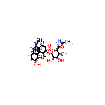 Cc1nnc(C2O[C@H](O[C@@]3(O)C=C[C@H]4[C@H]5Cc6ccc(O)c7c6[C@@]4(CCN5C)[C@H]3O7)[C@H](O)[C@@H](O)[C@@H]2O)o1